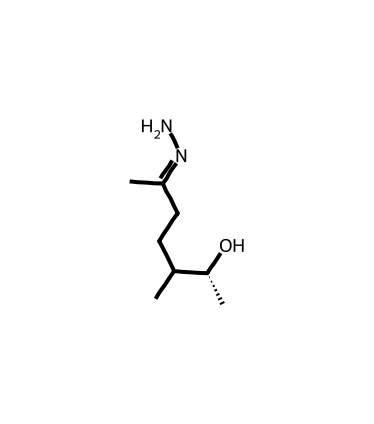 C/C(CCC(C)[C@@H](C)O)=N\N